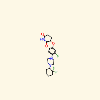 O=C1CCC(Oc2ccc(N3CCN(C4CCCCC4(F)F)CC3)c(F)c2)C(=O)N1